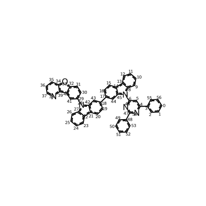 c1ccc(-c2cc(-n3c4ccccc4c4ccc(-c5ccc6c7ccccc7n(-c7ccc8oc9cccnc9c8c7)c6c5)cc43)nc(-c3ccccc3)n2)cc1